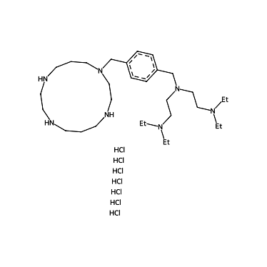 CCN(CC)CCN(CCN(CC)CC)Cc1ccc(CN2CCCNCCNCCCNCC2)cc1.Cl.Cl.Cl.Cl.Cl.Cl.Cl